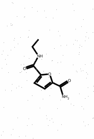 CCNC(=O)c1ccc(C(N)=O)o1